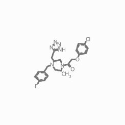 CC1CN(Cc2ccc(F)cc2)C(Cc2nnn[nH]2)CN1C(=O)COc1ccc(Cl)cc1